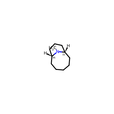 CN1[C@@H]2CCCCC[C@H]1CCC2